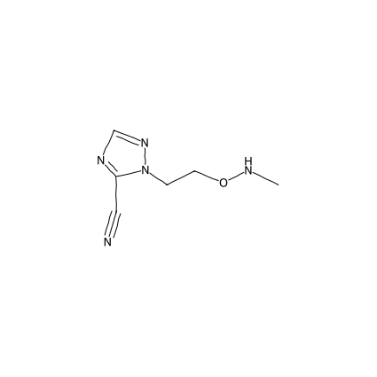 CNOCCn1ncnc1C#N